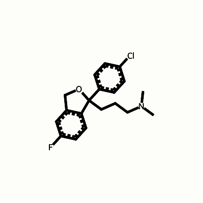 CN(C)CCCC1(c2ccc(Cl)cc2)OCc2cc(F)ccc21